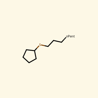 CCCCCCCCSC1CCCC1